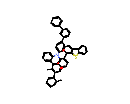 Cc1ccccc1-c1cccc(-c2ccccc2N(c2ccc(-c3cccc(-c4ccccc4)c3)cc2)c2ccccc2-c2cccc3c2sc2ccccc23)c1C